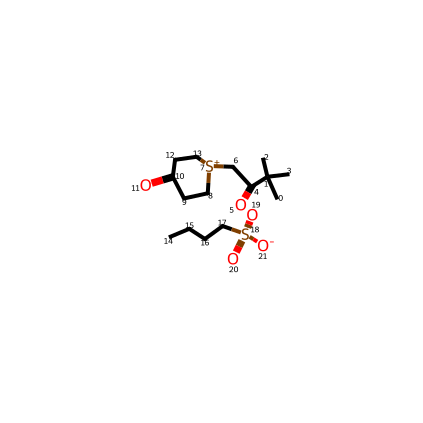 CC(C)(C)C(=O)C[S+]1CCC(=O)CC1.CCCCS(=O)(=O)[O-]